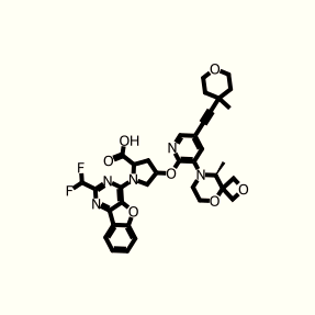 C[C@@H]1N(c2cc(C#CC3(C)CCOCC3)cnc2OC2CC(C(=O)O)N(c3nc(C(F)F)nc4c3oc3ccccc34)C2)CCOC12COC2